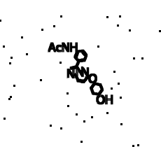 CC(=O)Nc1cccc(-c2cnc3ccc(OC4CCC(O)CC4)nn23)c1